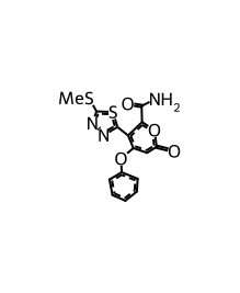 CSc1nnc(-c2c(Oc3ccccc3)cc(=O)oc2C(N)=O)s1